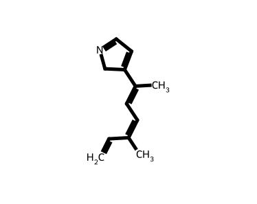 C=C/C(C)=C\C=C(/C)C1=CC=NC1